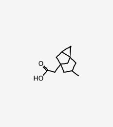 CC1CC2(CC(=O)O)CC3C[C@@]3(C1)C2